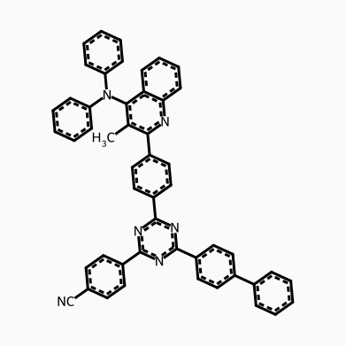 Cc1c(-c2ccc(-c3nc(-c4ccc(C#N)cc4)nc(-c4ccc(-c5ccccc5)cc4)n3)cc2)nc2ccccc2c1N(c1ccccc1)c1ccccc1